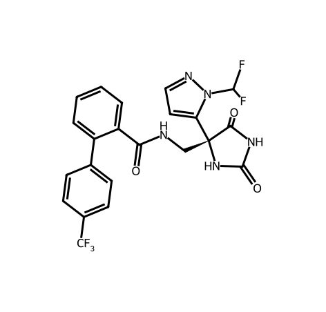 O=C1NC(=O)[C@@](CNC(=O)c2ccccc2-c2ccc(C(F)(F)F)cc2)(c2ccnn2C(F)F)N1